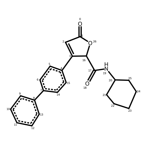 O=C1C=C(c2ccc(-c3ccccc3)cc2)C(C(=O)NC2CCCCC2)O1